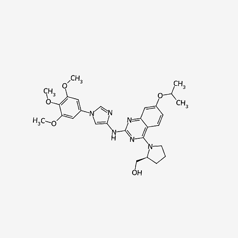 COc1cc(-n2cnc(Nc3nc(N4CCC[C@H]4CO)c4ccc(OC(C)C)cc4n3)c2)cc(OC)c1OC